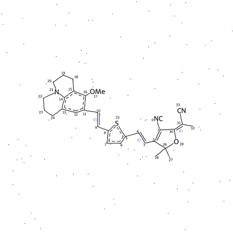 [C-]#[N+]C1=C(/C=C/c2ccc(/C=C/c3cc4c5c(c3OC)CCCN5CCC4)s2)C(C)(C)O/C1=C(\C)C#N